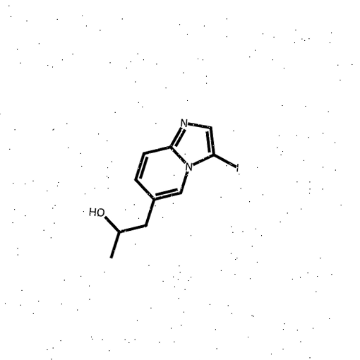 CC(O)Cc1ccc2ncc(I)n2c1